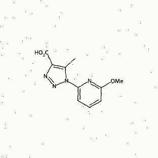 COc1cccc(-n2nnc(C(=O)O)c2C)n1